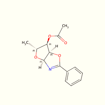 CC(=O)O[C@H]1[C@H]2OC(c3ccccc3)=N[C@H]2O[C@@H]1C